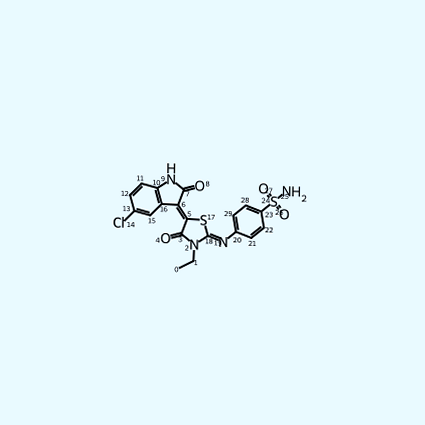 CCN1C(=O)/C(=C2/C(=O)Nc3ccc(Cl)cc32)S/C1=N\c1ccc(S(N)(=O)=O)cc1